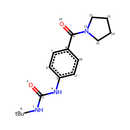 CC(C)(C)NC(=O)Nc1ccc(C(=O)N2CCCC2)cc1